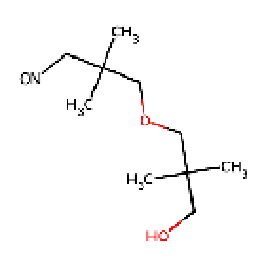 CC(C)(CO)COCC(C)(C)CN=O